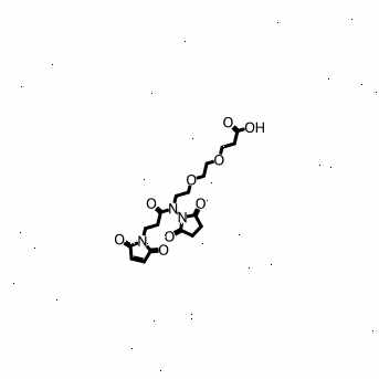 O=C(O)CCOCCOCCN(C(=O)CCN1C(=O)C=CC1=O)N1C(=O)CCC1=O